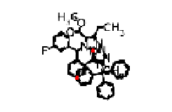 CCCc1nc(CC)c(C(=O)OC)n1C(c1cccc(F)c1)c1ccccc1-c1nnnn1C(c1ccccc1)(c1ccccc1)c1ccccc1